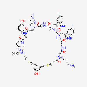 C[C@@]12CCCN1C(=O)[C@H](Cc1ccc(O)cc1)NC(=O)[C@H](Cc1c[nH]cn1)NC(=O)CNC(=O)[C@H](Cc1c[nH]c3ccc(F)cc13)NC(=O)[C@H](Cc1c[nH]c3ccc(F)cc13)NC(=O)CNC(=O)[C@H](CCCCN)NC(=O)CCSCc1cc(O)cc(c1)CSCCN/C2=N\C=O